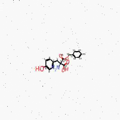 NC(Cc1ccc(O)cc1)(C(=O)O)C(=O)OCc1ccccc1